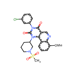 COc1cccc2c1ncc1c(=O)n(-c3cccc(Cl)c3)c(=O)n(C3CCCN(S(C)(=O)=O)C3)c12